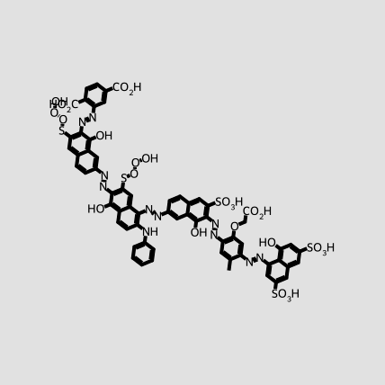 Cc1cc(N=Nc2c(S(=O)(=O)O)cc3ccc(N=Nc4c(Nc5ccccc5)ccc5c(O)c(N=Nc6ccc7cc(SOOO)c(N=Nc8cc(C(=O)O)ccc8C(=O)O)c(O)c7c6)c(SOOO)cc45)cc3c2O)c(OCC(=O)O)cc1N=Nc1cc(S(=O)(=O)O)cc2cc(S(=O)(=O)O)cc(O)c12